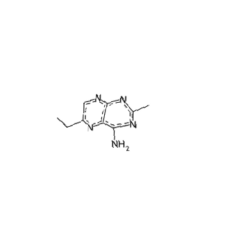 CCc1cnc2nc(C)nc(N)c2n1